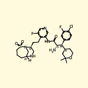 CC1(C)C[C@@H]([C@H](c2ccc(Cl)c(F)c2)[C@H](N)C(=O)Nc2cncc(F)c2CC[C@H]2CN[C@@H]3CCCS(=O)(=O)N2C3)CCO1